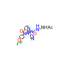 CC(=O)NCCNCC(=O)NC(Sc1ncccc1C(=O)Nc1ccc(OC(F)F)cc1)c1ccncc1